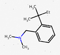 CCC(C)(C)c1ccccc1CN(C)C